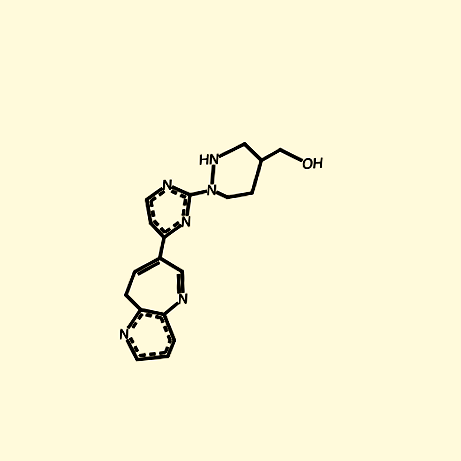 OCC1CCN(c2nccc(C3=CCc4ncccc4N=C3)n2)NC1